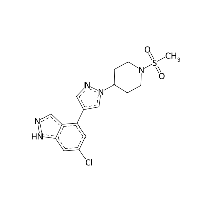 CS(=O)(=O)N1CCC(n2cc(-c3cc(Cl)cc4[nH]ncc34)cn2)CC1